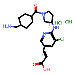 Cl.Cl.NCC1CCC(C(=O)N2CC[C@@H](Nc3ncc(/C=C/C(=O)O)cc3Cl)C2)CC1